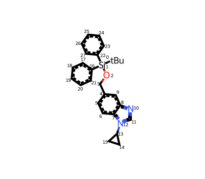 CC(C)(C)[Si](OCc1ccc2c(c1)ncn2C1CC1)(c1ccccc1)c1ccccc1